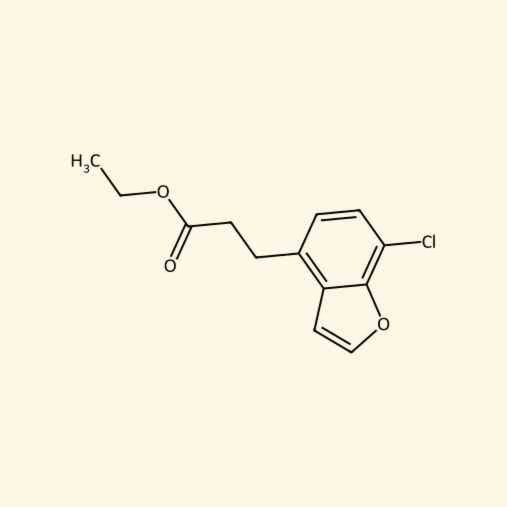 CCOC(=O)CCc1ccc(Cl)c2occc12